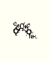 Nc1ccc(C(=O)N2CCN3C(=O)c4ccccc4C3C2)cc1